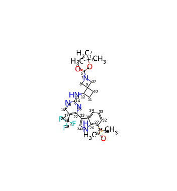 CC(C)(C)OC(=O)N1CC2(CC[C@H]2Nc2ncc(C(F)(F)F)c(-c3c[nH]c4c(P(C)(C)=O)cccc34)n2)C1